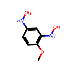 COc1ccc(NO)cc1NO